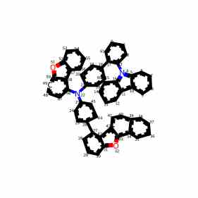 c1ccc(-n2c3ccccc3c3ccccc32)c(-c2ccc(N(c3ccc(-c4cccc5oc6c7ccccc7ccc6c45)cc3)c3cccc4oc5ccccc5c34)cc2)c1